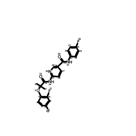 CC(C)(Oc1ccc(F)cc1F)C(=O)Nc1ccc(C(=O)Nc2ccc(F)cc2)cn1